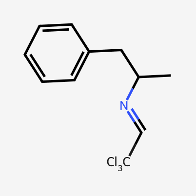 CC(Cc1ccccc1)/N=C/C(Cl)(Cl)Cl